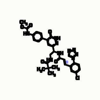 COC(=O)Nc1ccc(-c2cc(C(CNC(=O)C(C)(C)C)NC(=O)/C=C/c3cc(Cl)ccc3-n3cnnn3)n[nH]c2=O)cc1